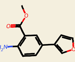 COC(=O)c1cc(-c2ccoc2)ccc1N